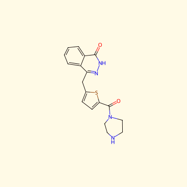 O=C(c1ccc(Cc2n[nH]c(=O)c3ccccc23)s1)N1CCNCC1